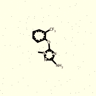 Cn1nc(N)nc1Oc1ccccc1C(F)(F)F